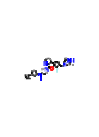 C[C@@H]1CN(Cc2ccc(-c3cccnc3C(=O)N3CCC(Nc4cccc(C#N)c4)CC3)cc2F)C[C@H](C)N1